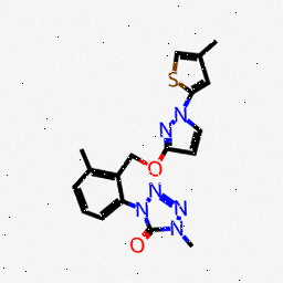 Cc1csc(-n2ccc(OCc3c(C)cccc3-n3nnn(C)c3=O)n2)c1